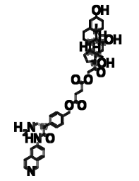 C[C@]12CCC(O)C=C1CC[C@@H]1[C@@H]2[C@@H](O)C[C@@]2(C)[C@H]1CC[C@]2(O)C(=O)COC(=O)CCC(=O)OCc1ccc([C@@H](CN)C(=O)Nc2ccc3cnccc3c2)cc1